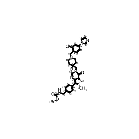 Cn1nc2c(=O)n(CC3(O)CCN(Cc4ccc(-n5ccnc5)cc4Cl)CC3)cnc2c1-c1ccc(CNC(=O)OC(C)(C)C)cc1